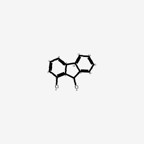 Clc1cccc2c1C(Cl)c1ccccc1-2